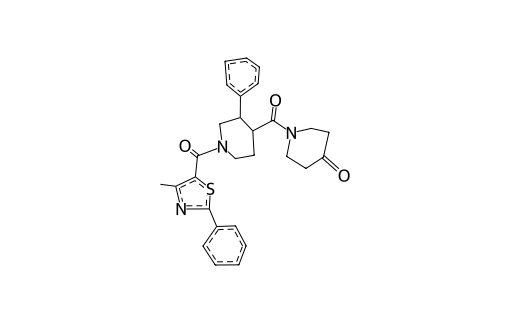 Cc1nc(-c2ccccc2)sc1C(=O)N1CCC(C(=O)N2CCC(=O)CC2)C(c2ccccc2)C1